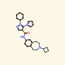 O=C(Nc1ccc2c(c1)CCN(C1CCC1)CC2)c1cnn(-c2ccccc2)c1-n1cccc1